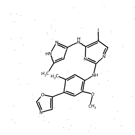 COc1cc(-c2cnco2)c(C)cc1Nc1ncc(I)c(Nc2cc(C)[nH]n2)n1